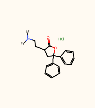 CCN(CC)CCC1CC(c2ccccc2)(c2ccccc2)OC1=O.Cl